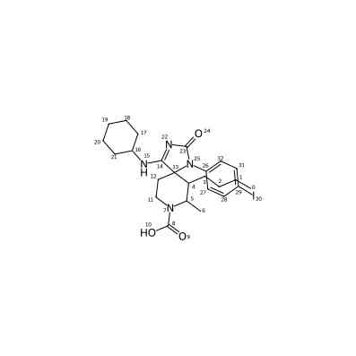 CCCCC1C(C)N(C(=O)O)CCC12C(NC1CCCCC1)=NC(=O)N2c1ccc(I)cc1